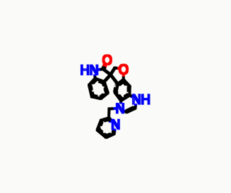 O=C1Nc2ccccc2C12COc1cc3c(cc12)N(Cc1ccccn1)C=CN3